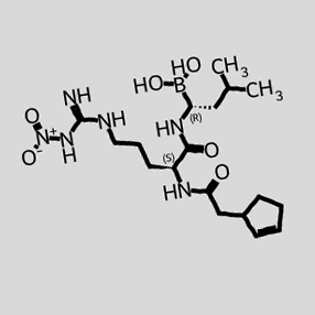 CC(C)C[C@H](NC(=O)[C@H](CCCNC(=N)N[N+](=O)[O-])NC(=O)CC1C=CCC1)B(O)O